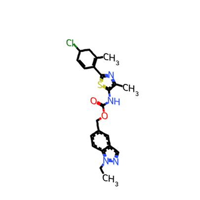 CCn1ncc2cc(COC(=O)Nc3sc(C4=C(C)CC(Cl)C=C4)nc3C)ccc21